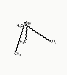 CCCCCCCCCCCCCCCCCC(CCCCCCCCC)c1[nH]cc[n+]1C(C)CCCCCCCCCCCCCCCCC